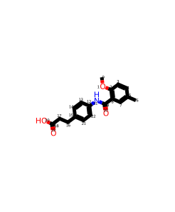 COc1ccc(C)cc1C(=O)Nc1ccc(CCC(=O)O)cc1